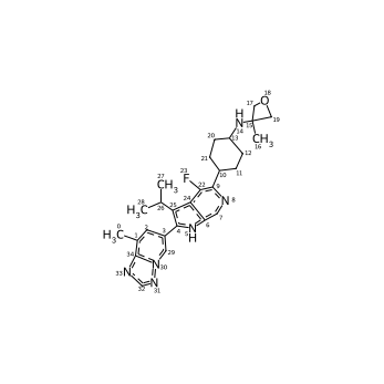 Cc1cc(-c2[nH]c3cnc(C4CCC(NC5(C)COC5)CC4)c(F)c3c2C(C)C)cn2ncnc12